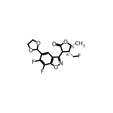 C[C@H]1OC(=O)C(c2noc3c(F)c(F)c(C4OCCO4)cc23)[C@H]1CF